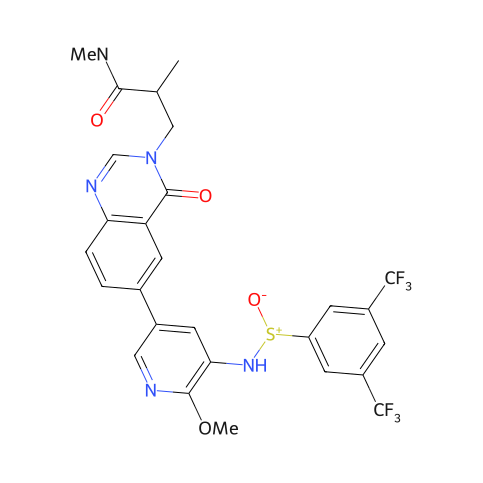 CNC(=O)C(C)Cn1cnc2ccc(-c3cnc(OC)c(N[S+]([O-])c4cc(C(F)(F)F)cc(C(F)(F)F)c4)c3)cc2c1=O